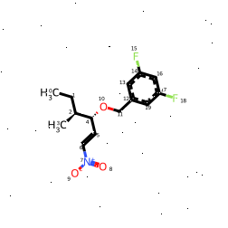 CC[C@H](C)[C@@H](/C=C/[N+](=O)[O-])OCc1cc(F)cc(F)c1